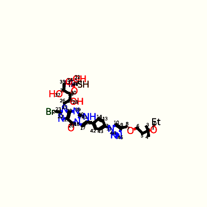 CCOC(C)(C)CCOCc1cn(-c2ccc(-c3cn4c(=O)c5nc(Br)n(C[C@@H](O)C6O[PH](O)(S)OCC6O)c5nc4[nH]3)cc2)nn1